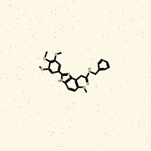 COc1cc(-c2nc3c(CC(=O)NCc4ccccc4)c(OC)ccc3[nH]2)cc(OC)c1OC